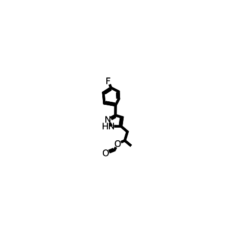 CC(Cc1cc(-c2ccc(F)cc2)n[nH]1)OC=O